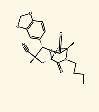 CCCCN1C(=O)[C@@]23C[C@](C)(C#N)[C@H](c4ccc5c(c4)OCO5)N2C(=O)[C@]1(C)SS3